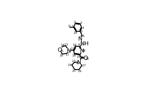 Cc1cccc(C=NNc2cc(N3CCOCC3)cc(C(=O)N3CCCCC3)n2)c1